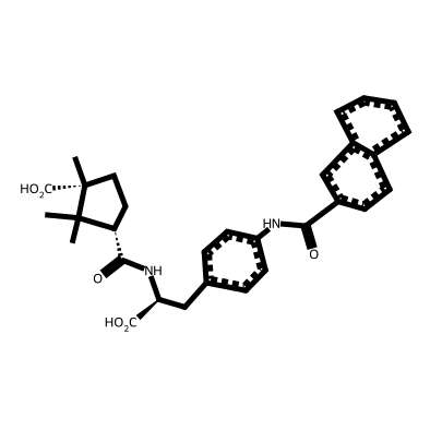 CC1(C)[C@@H](C(=O)N[C@@H](Cc2ccc(NC(=O)c3ccc4ccccc4c3)cc2)C(=O)O)CC[C@@]1(C)C(=O)O